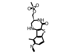 C=Nc1ccc2sc3c(c2c1C)NC[C@@H](COS(C)(=O)=O)NC3=O